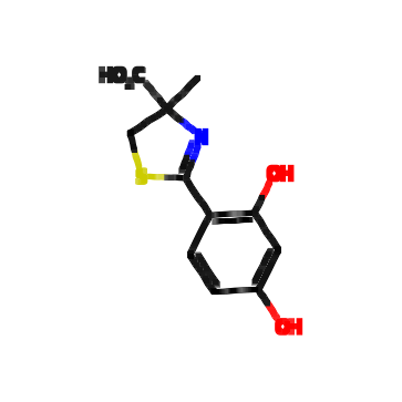 CC1(C(=O)O)CSC(c2ccc(O)cc2O)=N1